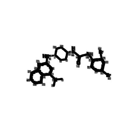 CN(C)c1cc(N[C@H]2CC[C@@H](NC(=O)Nc3ccc(Br)cc3Br)CC2)nc2ccccc12